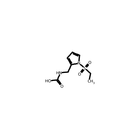 CCS(=O)(=O)n1cccc1CNC(=O)O